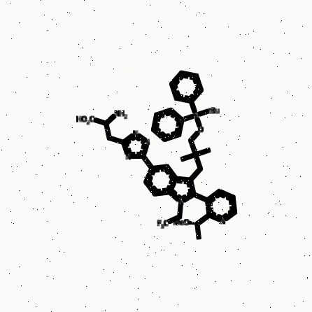 CO[C@@H](C)c1ncccc1-c1c(CC(C)(C)CO[Si](c2ccccc2)(c2ccccc2)C(C)(C)C)c2cc(-c3nc(CC(N)C(=O)O)ns3)ccc2n1CC(F)(F)F